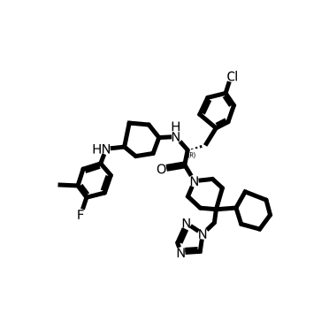 Cc1cc(NC2CCC(N[C@H](Cc3ccc(Cl)cc3)C(=O)N3CCC(Cn4cncn4)(C4CCCCC4)CC3)CC2)ccc1F